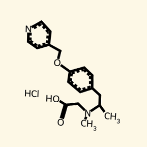 CC(Cc1ccc(OCc2ccncc2)cc1)N(C)CC(=O)O.Cl